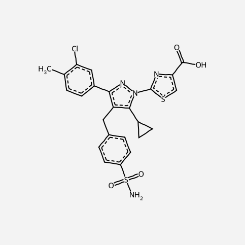 Cc1ccc(-c2nn(-c3nc(C(=O)O)cs3)c(C3CC3)c2Cc2ccc(S(N)(=O)=O)cc2)cc1Cl